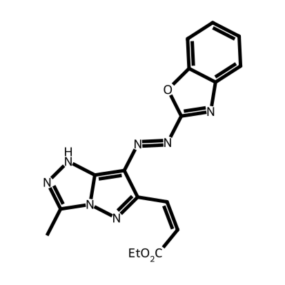 CCOC(=O)/C=C\c1nn2c(C)n[nH]c2c1/N=N/c1nc2ccccc2o1